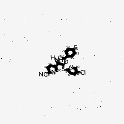 C=C(O/C(Sc1ccc(Cl)cn1)=C(\N)c1ccc(C#N)nc1)c1ccc(F)cc1